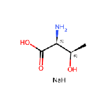 C[C@@H](O)[C@H](N)C(=O)O.[NaH]